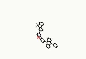 CC1(C)c2ccccc2-c2ccc(-c3ccc4oc5ccc(-c6c7ccccc7c(-c7ccccc7)c7ccccc67)cc5c4c3)cc21